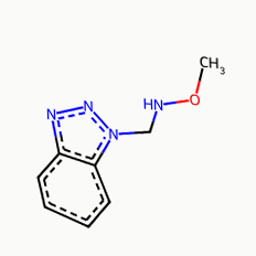 CONCn1nnc2ccccc21